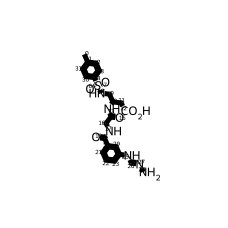 Cc1ccc(S(=O)(=O)NCC(CC(=O)O)NC(=O)CNC(=O)c2cccc(NC=NN)c2)cc1